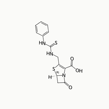 O=C(O)C1=C(CNC(=S)Nc2ccccc2)S[C@@H]2CC(=O)N12